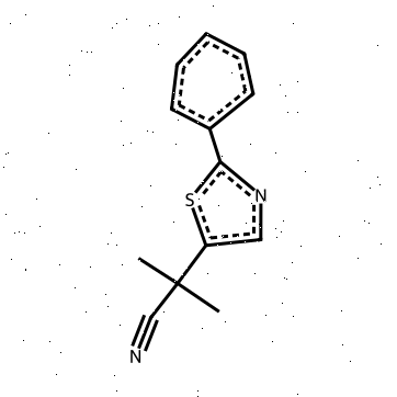 CC(C)(C#N)c1cnc(-c2ccccc2)s1